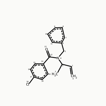 C=CC(C)N(Cc1ccccc1)C(=O)c1ccc(Cl)cc1